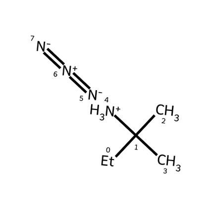 CCC(C)(C)[NH3+].[N-]=[N+]=[N-]